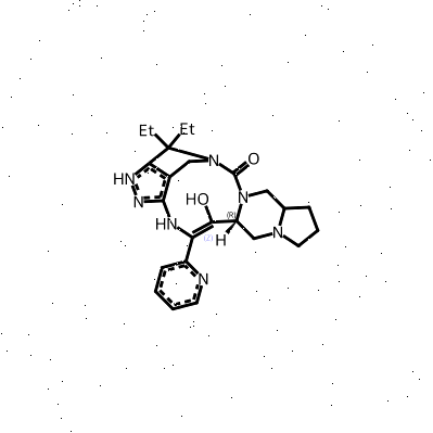 CCC1(CC)c2[nH]nc3c2CN1C(=O)N1CC2CCCN2C[C@@H]1/C(O)=C(\c1ccccn1)N3